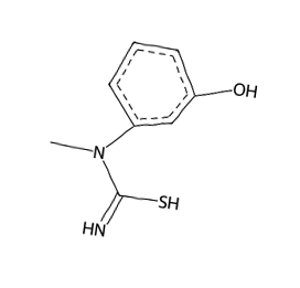 CN(C(=N)S)c1cccc(O)c1